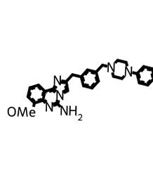 COc1cccc2c1nc(N)n1cc(Cc3cccc(CN4CCN(c5ccccc5)CC4)c3)nc21